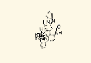 CC(C)(C)OC(=O)n1cccc1-c1ccc2[nH]c(=O)c(-c3nc4ccccc4[nH]3)c(N[C@@H]3CN4CCC3CC4)c2c1